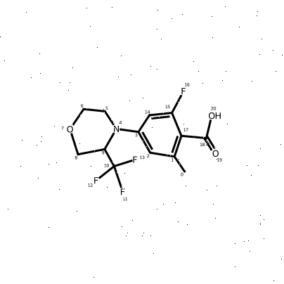 Cc1cc(N2CCOCC2C(F)(F)F)cc(F)c1C(=O)O